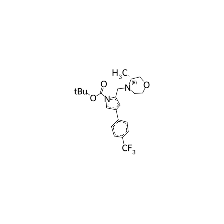 C[C@@H]1COCCN1Cc1cc(-c2ccc(C(F)(F)F)cc2)cn1C(=O)OC(C)(C)C